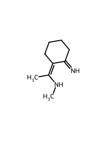 CN/C(C)=C1/CCCCC1=N